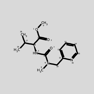 COC(=O)[C@@H](NC(=O)N(C)Cc1ccccn1)C(C)C